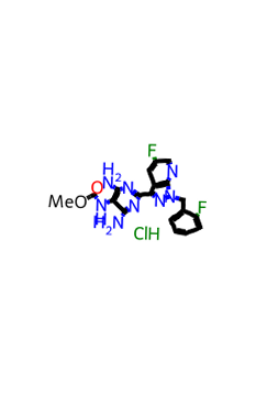 COC(=O)Nc1c(N)nc(-c2nn(Cc3ccccc3F)c3ncc(F)cc23)nc1N.Cl